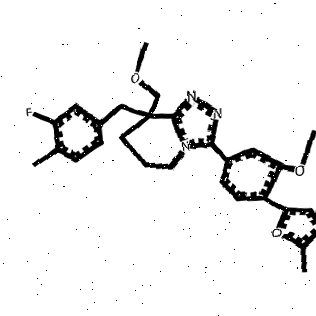 COCC1(Cc2ccc(C)c(F)c2)CCCn2c(-c3ccc(-c4cnc(C)o4)c(OC)c3)nnc21